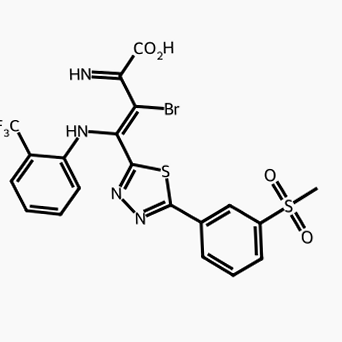 CS(=O)(=O)c1cccc(-c2nnc(/C(Nc3ccccc3C(F)(F)F)=C(\Br)C(=N)C(=O)O)s2)c1